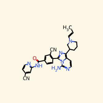 CC=CN1CCCC(c2nc(-c3ccc(C(=O)Nc4cc(C#N)ccn4)cc3C#N)n3c(N)nccc23)C1